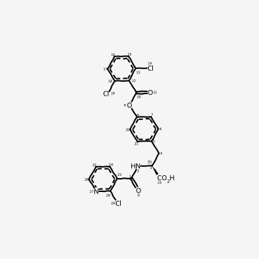 O=C(N[C@@H](Cc1ccc(OC(=O)c2c(Cl)cccc2Cl)cc1)C(=O)O)c1cccnc1Cl